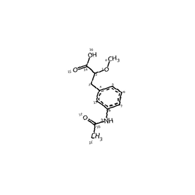 COC(Cc1cccc(NC(C)=O)c1)C(=O)O